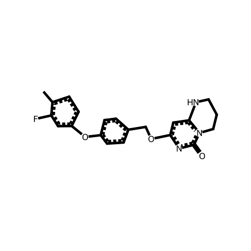 Cc1ccc(Oc2ccc(COc3cc4n(c(=O)n3)CCCN4)cc2)cc1F